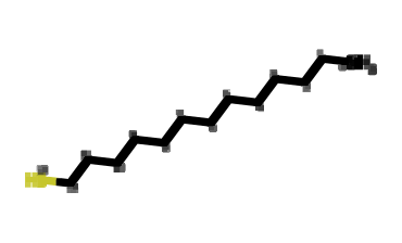 [SiH3]CCCCCCCCCCCCS